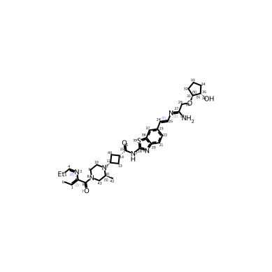 C/C=C(\N=C/CC)C(=O)N1CCN([C@H]2C[C@@H](C(=O)Nc3nc4ccc(/C=C/N=C(\N)CO[C@H]5CCC[C@@H]5O)cc4s3)C2)[C@@H](C)C1